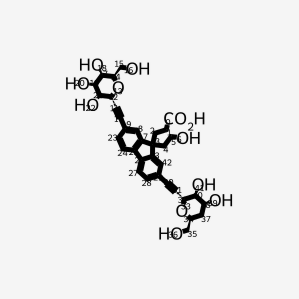 O=C(O)CCC1(CCO)c2cc(C#C[C@H]3O[C@H](CO)[C@@H](O)[C@H](O)[C@@H]3O)ccc2-c2ccc(C#C[C@H]3O[C@H](CO)C[C@H](O)[C@@H]3O)cc21